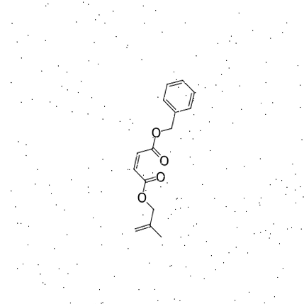 C=C(C)COC(=O)/C=C\C(=O)OCc1ccccc1